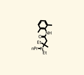 CCCN(CC)C(C)(CC)CC(=O)Nc1c(C)cccc1C